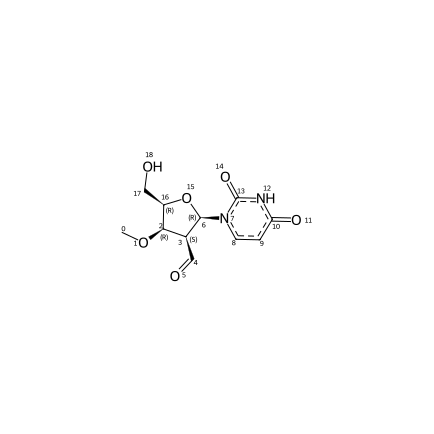 CO[C@@H]1[C@H](C=O)[C@H](n2ccc(=O)[nH]c2=O)O[C@@H]1CO